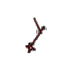 COCCOCCOCCOCCOCCOCCC(=O)N[C@H](CCCCNC(=O)OC(C)(C)C)C(=O)NCCOCCOCCOCCOCCOCCNC(=O)CCC(C(=O)OC(C)(C)C)N1CCN(CC(=O)OC(C)(C)C)CCN(CC(=O)OC(C)(C)C)CCN(CC(=O)OC(C)(C)C)CC1